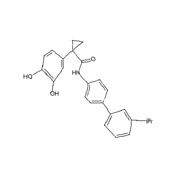 CC(C)c1cccc(-c2ccc(NC(=O)C3(c4ccc(O)c(O)c4)CC3)cc2)c1